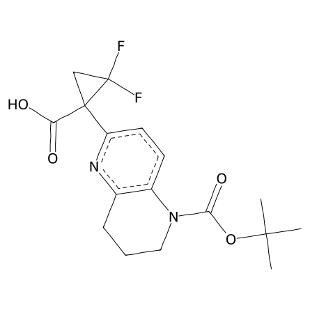 CC(C)(C)OC(=O)N1CCCc2nc(C3(C(=O)O)CC3(F)F)ccc21